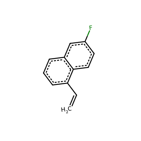 C=Cc1cccc2cc(F)ccc12